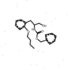 CCCCOc1ccccc1CC(CO)NC(=O)OCc1ccccc1